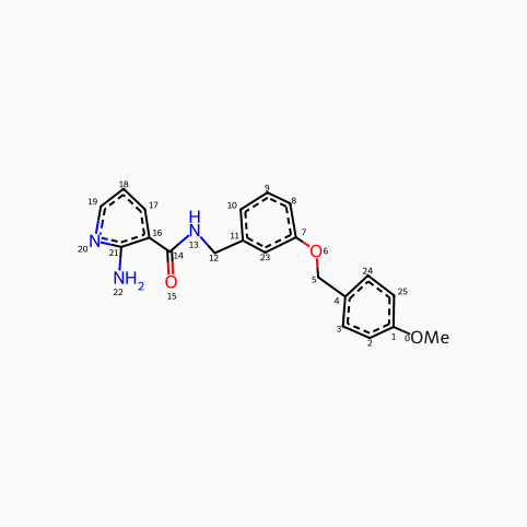 COc1ccc(COc2cccc(CNC(=O)c3cccnc3N)c2)cc1